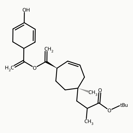 C=C(OC(=C)[C@H]1C=CC[C@@](C)(CC(C)C(=O)OC(C)(C)C)CC1)C1C=CC(O)=CC1